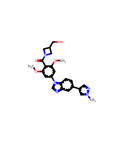 COc1cc(-n2cnc3cc(-c4cnn(C)c4)ccc32)cc(OC)c1C(=O)N1CC(CO)C1